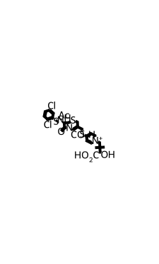 CC(=O)N(Sc1cc(Cl)ccc1Cl)[C@H]1C(=O)N2C(C(=O)O)=C(CSc3cc[n+](CC(C)(C)[C@H](O)C(=O)O)cc3)CS[C@H]12